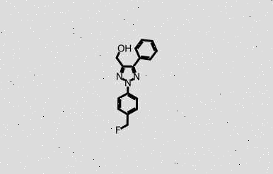 OCc1nn(-c2ccc(CF)cc2)nc1-c1ccccc1